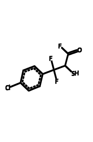 O=C(F)C(S)C(F)(F)c1ccc(Cl)cc1